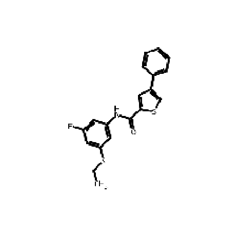 CCSc1cc(F)cc(NC(=O)c2cc(-c3ccccc3)cs2)c1